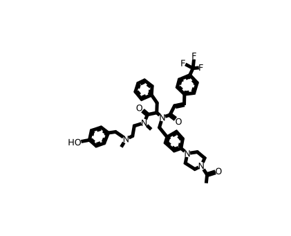 CC(=O)N1CCN(c2ccc(CN(C(=O)C=Cc3ccc(C(F)(F)F)cc3)C(Cc3ccccc3)C(=O)N(C)CCN(C)Cc3ccc(O)cc3)cc2)CC1